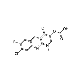 Cn1cc(OC(=O)O)c(=O)c2cc3cc(F)c(Cl)cc3nc21